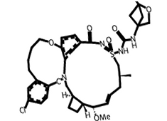 CO[C@H]1/C=C/C[C@H](C)CS(=O)(NC(=O)NC23COC(C)(C2)C3)=NC(=O)c2ccc3c(c2)N(Cc2ccc(Cl)cc2CCCCO3)C[C@@H]2CC[C@H]21